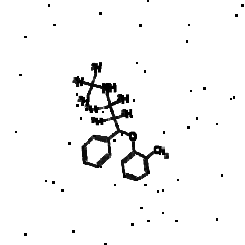 [2H]C([2H])([2H])NC([2H])([2H])C([2H])([2H])C(Oc1ccccc1C)c1ccccc1